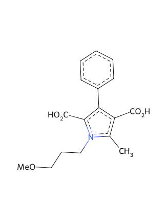 COCCCn1c(C)c(C(=O)O)c(-c2ccccc2)c1C(=O)O